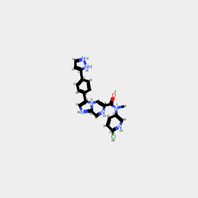 CN(C(=O)c1cn2c(-c3ccc(-c4ccn[nH]4)cc3)cnc2cn1)c1ccc(Cl)nc1